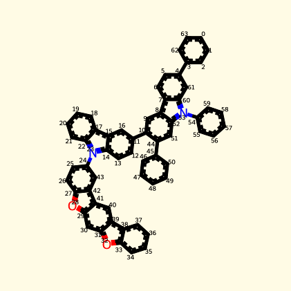 c1ccc(-c2ccc3c4cc(-c5ccc6c(c5)c5ccccc5n6-c5ccc6oc7cc8oc9ccccc9c8cc7c6c5)c(-c5ccccc5)cc4n(-c4ccccc4)c3c2)cc1